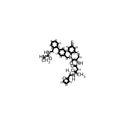 CNC(=O)NCc1ccccc1-c1ccc(CN2C(=O)[C@H](NC(=O)CC(C)(C)NCc3ccco3)CSc3cc(F)ccc32)cc1